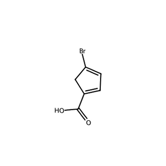 O=C(O)C1=CC=C(Br)C1